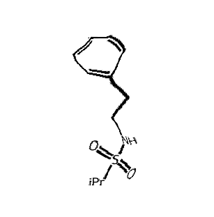 CC(C)S(=O)(=O)NCCc1cc[c]cc1